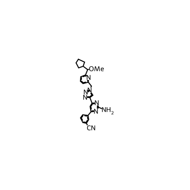 COC(c1cccc(Cn2cc(-c3cc(-c4cccc(C#N)c4)nc(N)n3)nn2)n1)C1CCCC1